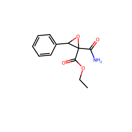 CCOC(=O)C1(C(N)=O)OC1c1ccccc1